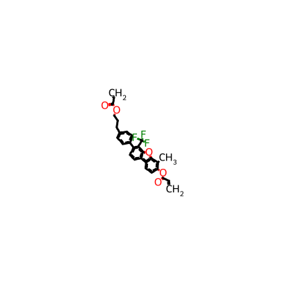 C=CC(=O)OCCCc1ccc(-c2ccc3c(oc4c(C)c(OC(=O)C=C)ccc43)c2C(F)(F)F)cc1